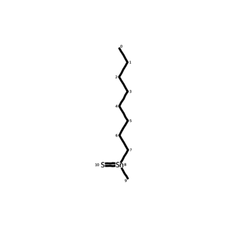 CCCCCCC[CH2][Sn]([CH3])=[S]